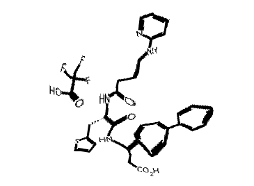 O=C(O)C(F)(F)F.O=C(O)CC(NC(=O)[C@H](Cc1cccs1)NC(=O)CCCNc1ccccn1)c1ccc(-c2ccccc2)cc1